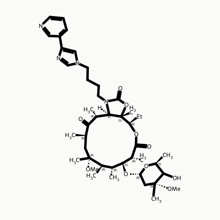 CC[C@H]1OC(=O)[C@H](C)[C@@H](O[C@H]2C[C@@](C)(OC)C(O)[C@H](C)O2)[C@H](C)[C@@H](C)[C@](C)(OC)C[C@@H](C)C(=O)[C@H](C)[C@H]2N(CCCCn3cnc(-c4cccnc4)c3)C(=O)O[C@]12C